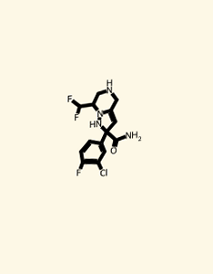 NC(=O)C1(c2ccc(F)c(Cl)c2)C=C2CNCC(C(F)F)N2N1